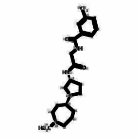 O=C(CNC(=O)c1cccc(C(F)(F)F)c1)N[C@@H]1CCN([C@H]2CCCN(C(=O)O)CC2)C1